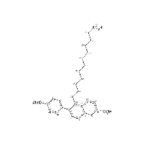 COc1ccc(-c2ccc3cc(OC)ccc3c2CCCCCCCCCCCC(=O)O)cc1